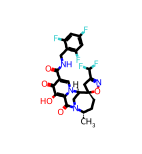 C[C@H]1CC[C@]2(CC(C(F)F)=NO2)[C@H]2CN1C(=O)c1c(O)c(=O)c(C(=O)NCc3c(F)cc(F)cc3F)cn12